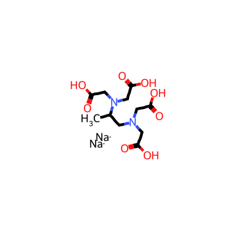 CC(CN(CC(=O)O)CC(=O)O)N(CC(=O)O)CC(=O)O.[Na].[Na]